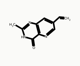 C=Cc1cnc2c(=O)[nH]c(C)nc2c1